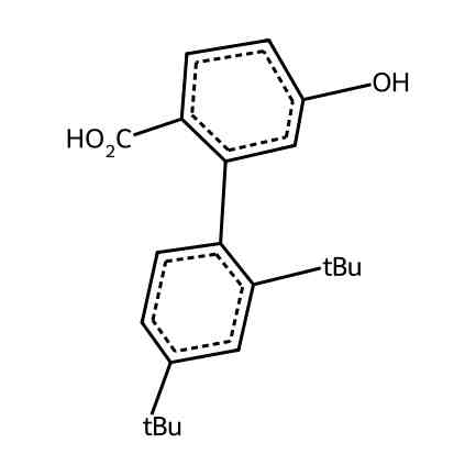 CC(C)(C)c1ccc(-c2cc(O)ccc2C(=O)O)c(C(C)(C)C)c1